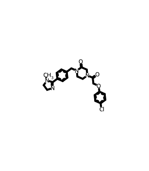 CN1CCN=C1c1ccc(CN2CCN(C(=O)COc3ccc(Cl)cc3)CC2=O)cc1